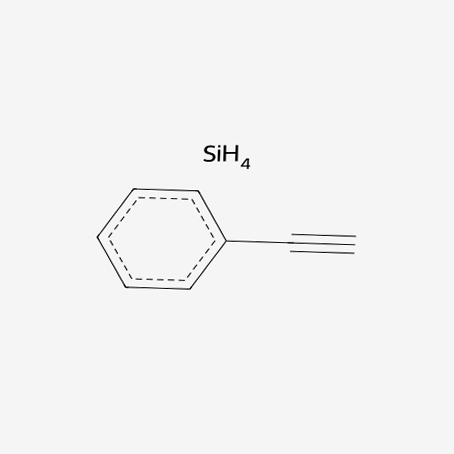 C#Cc1ccccc1.[SiH4]